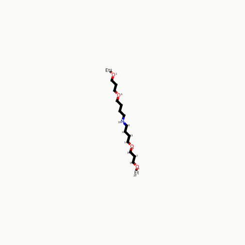 CCOCCCOCCCC[N]CCCCOCCCOCC